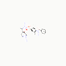 Cc1cc(S(=O)(=O)NC(C)C2CCNCC2)ccc1NC(=O)C12CCC(CC1)CC2.Cl